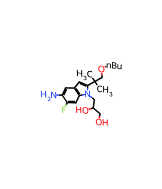 CCCCOCC(C)(C)c1cc2cc(N)c(F)cc2n1CC(O)CO